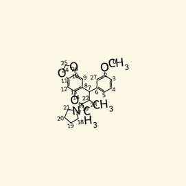 COc1cccc(C2c3cc4c(cc3OC(C)(N3CCCC3)C2C)OCO4)c1